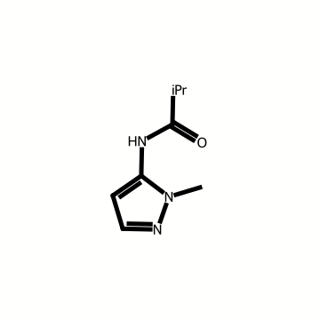 CC(C)C(=O)Nc1ccnn1C